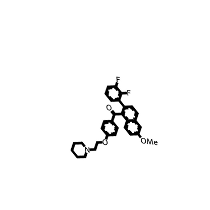 COc1ccc2c(C(=O)c3ccc(OCCN4CCCCC4)cc3)c(-c3cccc(F)c3F)ccc2c1